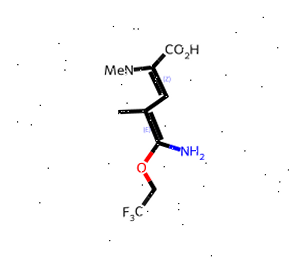 CN/C(=C\C(C)=C(/N)OCC(F)(F)F)C(=O)O